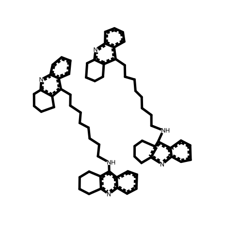 c1ccc2c(CCCCCCCCNc3c4c(nc5ccccc35)CCCC4)c3c(nc2c1)CCCC3.c1ccc2c(CCCCCCCCNc3c4c(nc5ccccc35)CCCC4)c3c(nc2c1)CCCC3